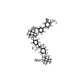 COC1(F)C(F)(F)C(F)(F)C1(F)Oc1ccc(C(c2ccc(OC3(F)C(F)(F)C(F)(F)C3(F)Oc3ccc(-c4ccc(C)c(Br)c4)cc3Br)cc2)(C(F)(F)F)C(F)(F)F)cc1